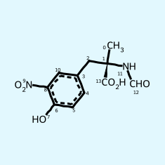 C[C@@](Cc1ccc(O)c([N+](=O)[O-])c1)(NC=O)C(=O)O